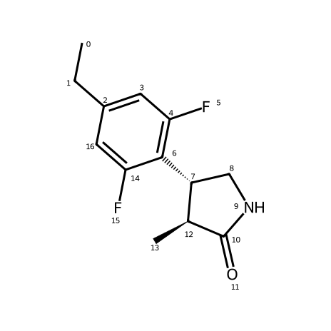 CCc1cc(F)c([C@@H]2CNC(=O)[C@H]2C)c(F)c1